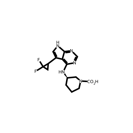 O=C(O)N1CCC[C@@H](Nc2ncnc3[nH]cc(C4CC4(F)F)c23)C1